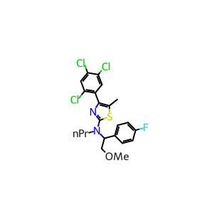 CCCN(c1nc(-c2cc(Cl)c(Cl)cc2Cl)c(C)s1)C(COC)c1ccc(F)cc1